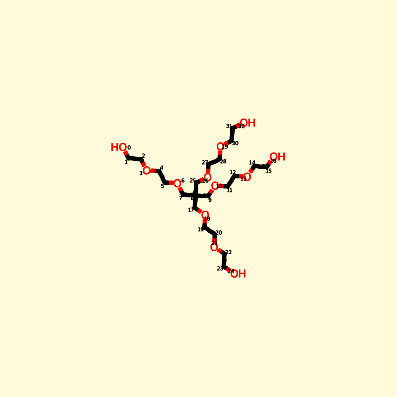 OCCOCCOCC(COCCOCCO)(COCCOCCO)COCCOCCO